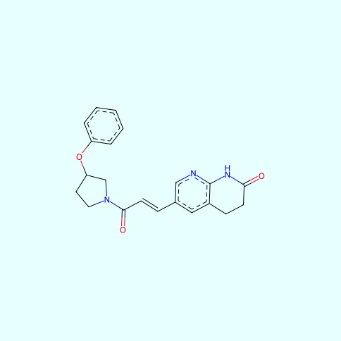 O=C1CCc2cc(C=CC(=O)N3CCC(Oc4ccccc4)C3)cnc2N1